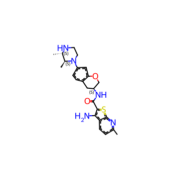 Cc1ccc2c(N)c(C(=O)N[C@@H]3COc4cc(N5CCN[C@@H](C)[C@@H]5C)ccc4C3)sc2n1